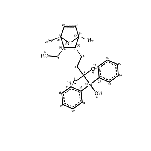 CC(C)(CC[C@@H]1[C@H](CO)[C@H]2C=C[C@@H]1O2)[Si](O)(c1ccccc1)c1ccccc1